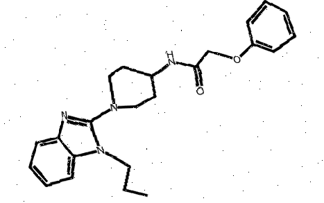 CCCn1c(N2CCC(NC(=O)COc3ccccc3)CC2)nc2ccccc21